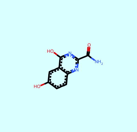 NC(=O)c1nc(O)c2cc(O)ccc2n1